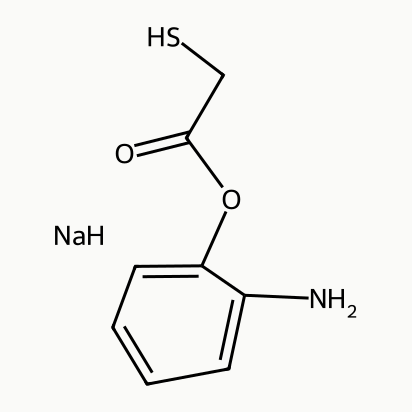 Nc1ccccc1OC(=O)CS.[NaH]